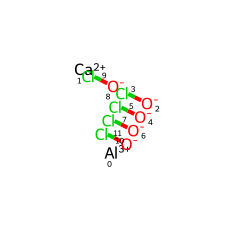 [Al+3].[Ca+2].[O-]Cl.[O-]Cl.[O-]Cl.[O-]Cl.[O-]Cl